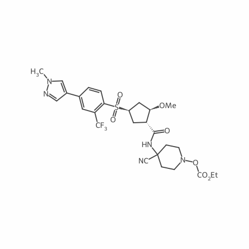 CCOC(=O)ON1CCC(C#N)(NC(=O)[C@@H]2C[C@@H](S(=O)(=O)c3ccc(-c4cnn(C)c4)cc3C(F)(F)F)C[C@H]2OC)CC1